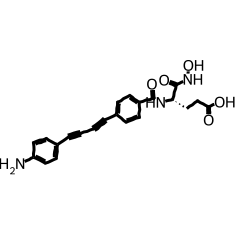 Nc1ccc(C#CC#Cc2ccc(C(=O)N[C@@H](CCC(=O)O)C(=O)NO)cc2)cc1